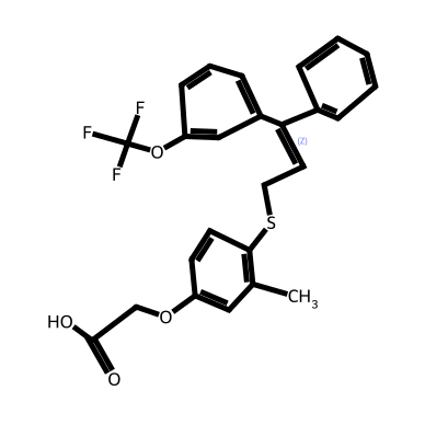 Cc1cc(OCC(=O)O)ccc1SC/C=C(/c1ccccc1)c1cccc(OC(F)(F)F)c1